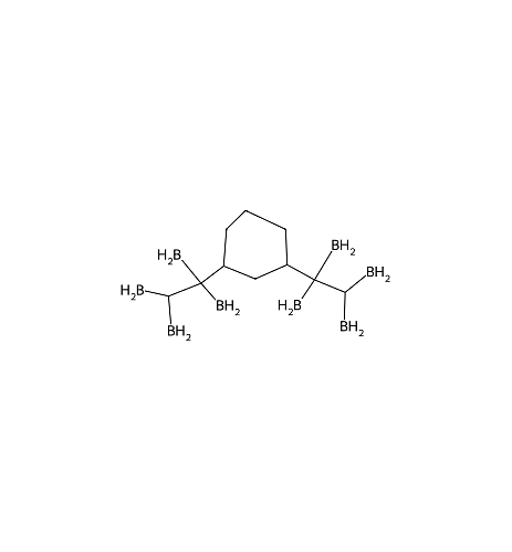 BC(B)C(B)(B)C1CCCC(C(B)(B)C(B)B)C1